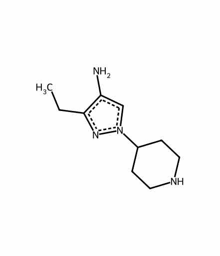 CCc1nn(C2CCNCC2)cc1N